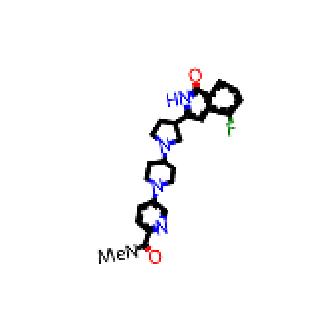 CNC(=O)c1ccc(N2CCC(N3CCC(c4cc5c(F)cccc5c(=O)[nH]4)C3)CC2)cn1